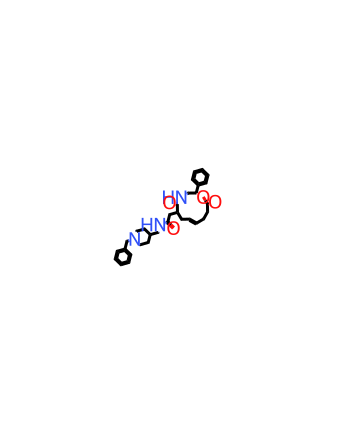 O=C(CC1C/C=C/CCC(=O)OC(c2ccccc2)CNC1=O)NCC1CCN(Cc2ccccc2)CC1